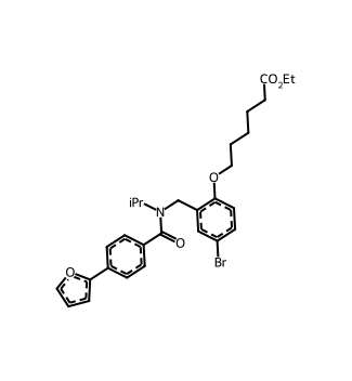 CCOC(=O)CCCCCOc1ccc(Br)cc1CN(C(=O)c1ccc(-c2ccco2)cc1)C(C)C